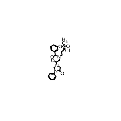 CS(=O)(=O)NCCN(CC(=O)N1CC(=O)N(c2ccccc2)C1)C(=O)c1ccccc1